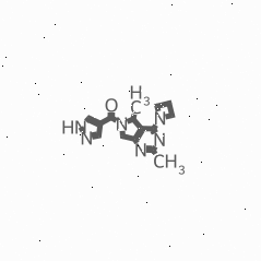 Cc1nc2c(c(N3CCC3)n1)C(C)N(C(=O)c1cn[nH]c1)C2